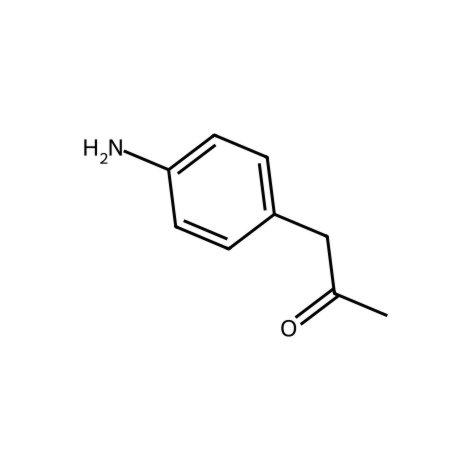 CC(=O)Cc1ccc(N)cc1